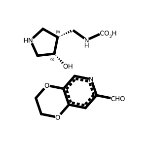 O=C(O)NC[C@H]1CNC[C@H]1O.O=Cc1cc2c(cn1)OCCO2